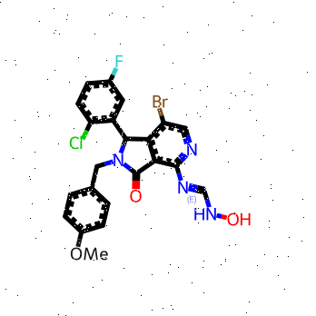 COc1ccc(CN2C(=O)c3c(/N=C/NO)ncc(Br)c3C2c2cc(F)ccc2Cl)cc1